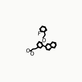 COC(=O)CCc1ccc(OCCc2ccccc2F)c(-c2ccc3ccccc3c2)c1